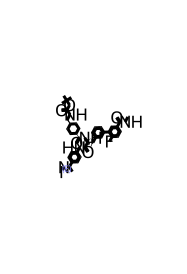 CNC(=O)c1ccc(F)c(-c2cccc(C[C@H](NC(=O)[C@H]3CC[C@H](CNC(=O)OC(C)(C)C)CC3)C(=O)Nc3ccc(/C(C)=N/I)cc3)c2)c1